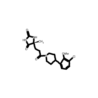 COc1c(Cl)cccc1C1CCN(C(=O)CC[C@@]2(C)NC(=O)NC2=O)CC1